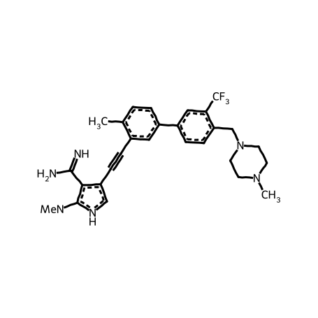 CNc1[nH]cc(C#Cc2cc(-c3ccc(CN4CCN(C)CC4)c(C(F)(F)F)c3)ccc2C)c1C(=N)N